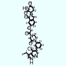 CCc1c[nH]c2ncc(-c3cccc(N4CCN(C(=O)COc5ccc6c(c5)C(=O)N(C5CCC(=O)NC5=O)C6)CC4=O)c3)c(Cl)c12